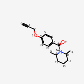 C#CCOc1ccc(C(=O)N2C(C)CCCC2C)cc1